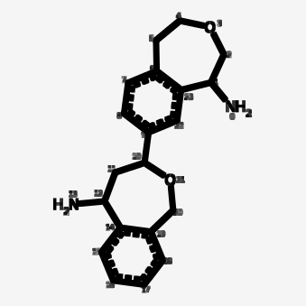 NC1COCCc2ccc(C3CC(N)c4ccccc4CO3)cc21